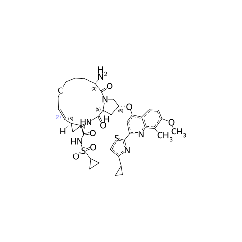 COc1ccc2c(O[C@@H]3C[C@H]4C(=O)N[C@]5(C(=O)NS(=O)(=O)C6CC6)C[C@H]5/C=C\CCCCC[C@H](N)C(=O)N4C3)cc(-c3nc(C4CC4)cs3)nc2c1C